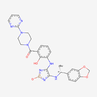 CC(C)(C)[C@@H](Nc1n[s+]([O-])nc1Nc1cccc(C(=O)N2CCN(c3ncccn3)CC2)c1O)c1ccc2c(c1)OCO2